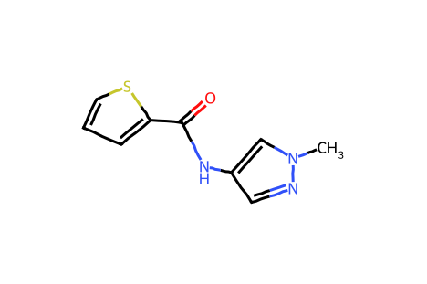 Cn1cc(NC(=O)c2cccs2)cn1